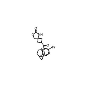 CC(C)c1ccc(C23CCN(C(=O)C4CC5(COC(=O)N5)C4)CC2C3)cc1